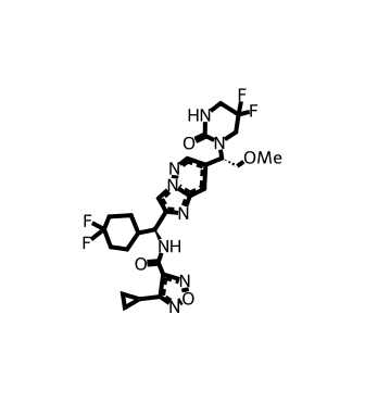 COC[C@H](c1cnn2cc([C@@H](NC(=O)c3nonc3C3CC3)C3CCC(F)(F)CC3)nc2c1)N1CC(F)(F)CNC1=O